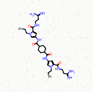 CC(C)CCn1cc(NC(=O)C2CCC(C(=O)Nc3cc(C(=O)NCCC(=N)N)n(CCC(C)C)c3)CC2)cc1C(=O)NCCC(=N)N